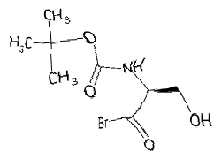 CC(C)(C)OC(=O)N[C@@H](CO)C(=O)Br